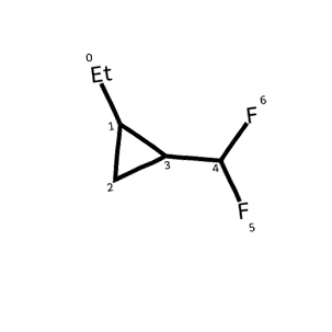 CCC1CC1C(F)F